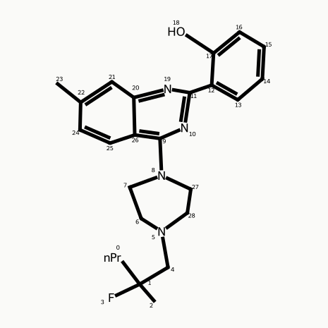 CCCC(C)(F)CN1CCN(c2nc(-c3ccccc3O)nc3cc(C)ccc23)CC1